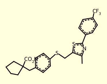 Cc1nc(-c2ccc(C(F)(F)F)cc2)sc1CSc1ccc(CC2(C(=O)O)CCCC2)cc1